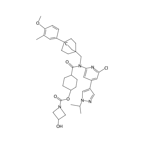 COc1ccc(C23CCC(CN(C(=O)C4CCC(OC(=O)N5CC(O)C5)CC4)c4cc(-c5cnn(C(C)C)c5)cc(Cl)n4)(CC2)CC3)cc1C